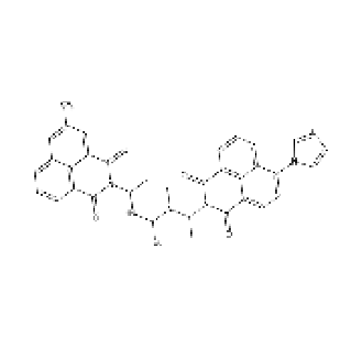 CCC(NC(C)N1C(=O)c2cccc3cc(C(F)(F)F)cc(c23)C1=O)N(C)C(C)N1C(=O)c2cccc3c(-n4ccnc4)ccc(c23)C1=O